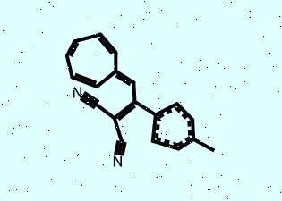 Cc1ccc(C(C=C2C=CC=CC=C2)=C(C#N)C#N)cc1